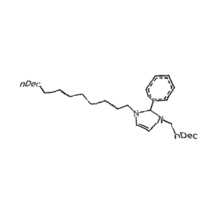 CCCCCCCCCCCCCCCCCCN1C=CN(CCCCCCCCCCC)C1c1ccccc1